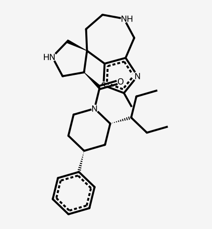 CCC(CC)[C@@H]1C[C@H](c2ccccc2)CCN1C(=O)[C@H]1CNC[C@]12CCNCc1nc(C)sc12